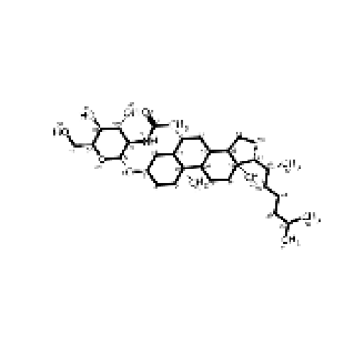 CC(=O)N[C@H]1[C@H](O[C@@H]2CC[C@@]3(C)C(CCC4C3CC[C@@]3(C)C4CC[C@@H]3[C@H](C)CCCC(C)C)C2)O[C@@H](CO)[C@@H](O)[C@@H]1O